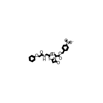 O=C(COc1ccccc1)NCC(=O)S[C@H]1CC(=O)N1C(Cl)C(=O)OCc1ccc([N+](=O)[O-])cc1